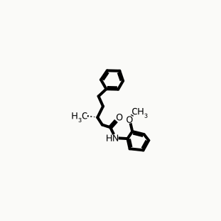 COc1ccccc1NC(=O)C[C@H](C)CCc1ccccc1